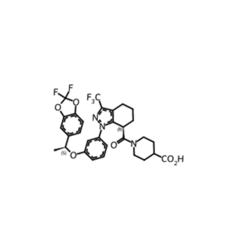 C[C@H](Oc1cccc(-n2nc(C(F)(F)F)c3c2[C@H](C(=O)N2CCC(C(=O)O)CC2)CCC3)c1)c1ccc2c(c1)OC(F)(F)O2